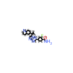 NC(=O)c1ccc(-c2cnc3ncc(C4(c5ccc6ncccc6c5)CC4)n3n2)cc1F